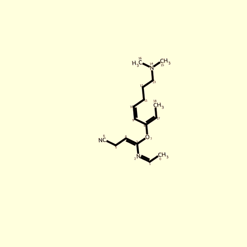 C/C=N\C(=C/CC#N)OC(/C=C\CCCN(C)C)=C/C